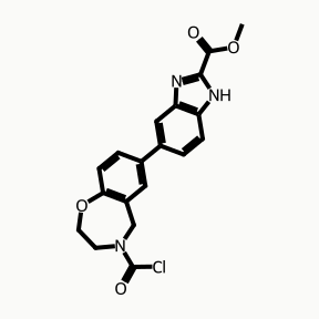 COC(=O)c1nc2cc(-c3ccc4c(c3)CN(C(=O)Cl)CCO4)ccc2[nH]1